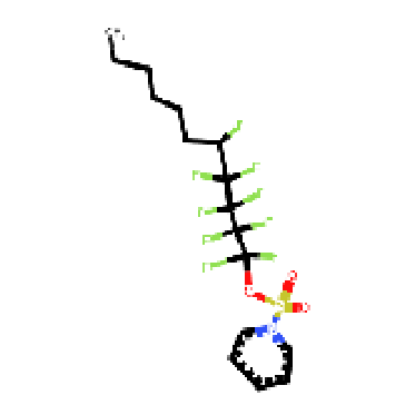 O=S(=O)(OC(F)(F)C(F)(F)C(F)(F)C(F)(F)C(F)CCCCCC(F)(F)F)[n+]1ccccc1